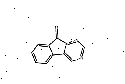 O=C1c2ccccc2-c2cncnc21